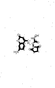 Cc1cc(=O)oc2cc(N)ccc12.O=C(NO)ON1C(=O)CCC1=O